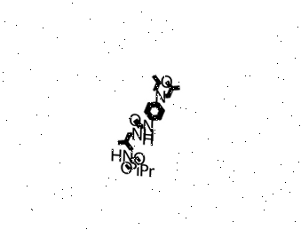 CC(CNC(=O)Nc1ccc(N2CC(C)OC(C)C2)cc1)CNS(=O)(=O)C(C)C